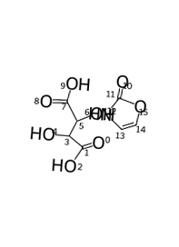 O=C(O)C(O)C(O)C(=O)O.O=c1[nH]cco1